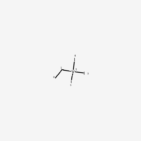 C[CH2][V]([I])([I])[I]